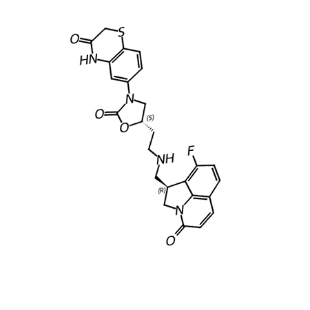 O=C1CSc2ccc(N3C[C@H](CCNC[C@@H]4Cn5c(=O)ccc6ccc(F)c4c65)OC3=O)cc2N1